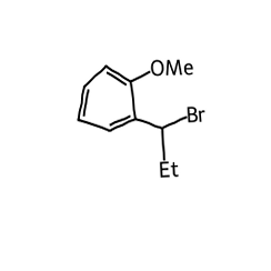 CCC(Br)c1ccccc1OC